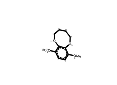 COc1ccc(C(=O)O)c2c1OCCCCO2